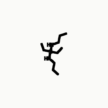 CCCN[Si](CC)(CC)NCCC